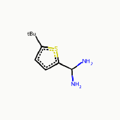 CC(C)(C)c1ccc(C(N)N)s1